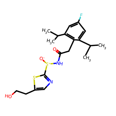 CC(C)c1cc(F)cc(C(C)C)c1CC(=O)N[S+]([O-])c1ncc(CCO)s1